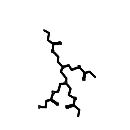 CCCC(=O)OCCN(CCOC(=O)CC)CCN(CCOC(=O)CC)CCOC(=O)CCF